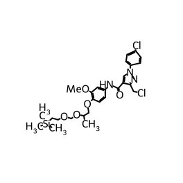 COc1cc(NC(=O)c2cn(-c3ccc(Cl)cc3)nc2CCl)ccc1OCC(C)OCOCC[Si](C)(C)C